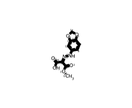 COC(=O)C(=NNc1ccc2c(c1)OCO2)C(=O)O